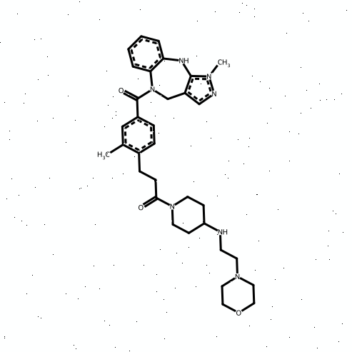 Cc1cc(C(=O)N2Cc3cnn(C)c3Nc3ccccc32)ccc1CCC(=O)N1CCC(NCCN2CCOCC2)CC1